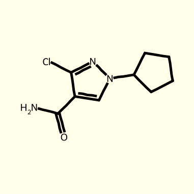 NC(=O)c1cn(C2CCCC2)nc1Cl